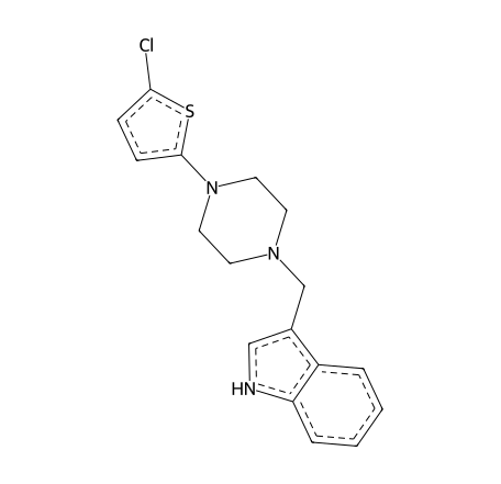 Clc1ccc(N2CCN(Cc3c[nH]c4ccccc34)CC2)s1